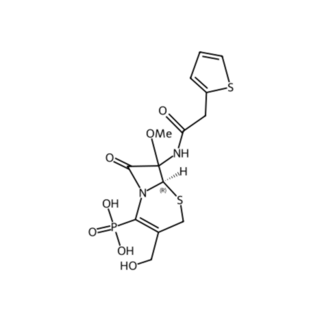 COC1(NC(=O)Cc2cccs2)C(=O)N2C(P(=O)(O)O)=C(CO)CS[C@@H]21